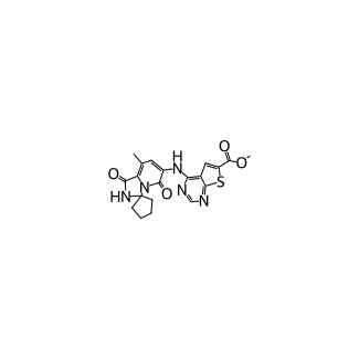 COC(=O)c1cc2c(Nc3cc(C)c4n(c3=O)C3(CCCC3)NC4=O)ncnc2s1